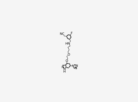 N#CCc1cc(F)cc(CNCCCCOCCOc2cc(-n3cnnc3)cc3[nH]ncc23)c1